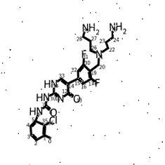 Cc1cccc(NC(=O)Nc2nc(=O)c(-c3cc(F)c(CN(CCCN)CCCN)c(F)c3)c[nH]2)c1Cl